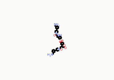 NCc1cccc(C2CCN(C(=O)Cc3cc(=O)oc4cc5c(cc34)OB(c3ccc4[nH]c(C(=O)N6CCC(c7cccc(CN)c7)CC6)cc4c3)O5)CC2)c1